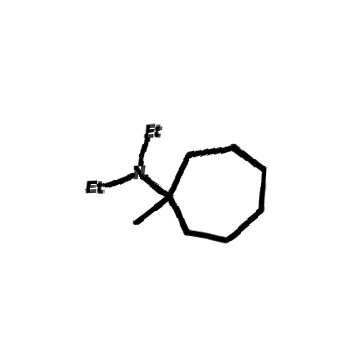 CCN(CC)C1(C)CCCCCC1